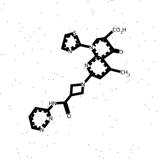 Cc1cc(N2CC(C(=O)Nc3cccnn3)C2)nc2c1c(=O)c(C(=O)O)cn2-c1nccs1